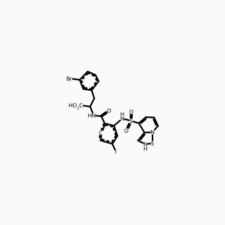 O=C(NC(Cc1cccc(Br)c1)C(=O)O)c1ccc(I)cc1NS(=O)(=O)C1=CC=CN2SNC=C12